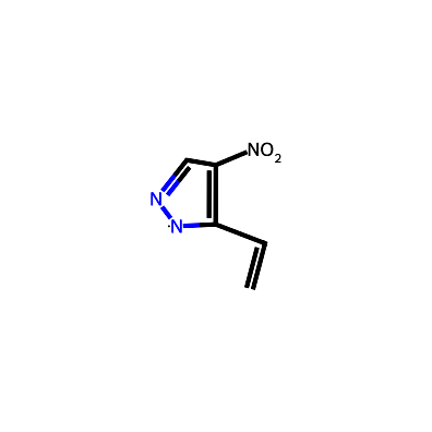 C=CC1=C([N+](=O)[O-])C=N[N]1